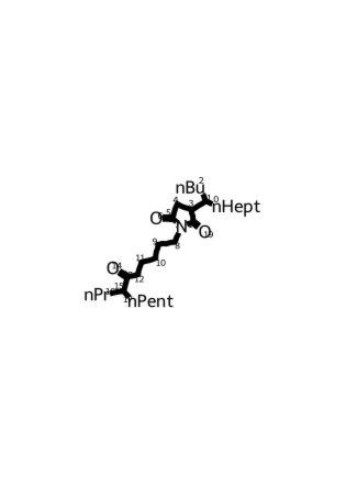 CCCCCCCC(CCCC)C1CC(=O)N(CCCCCC(=O)C(CCC)CCCCC)C1=O